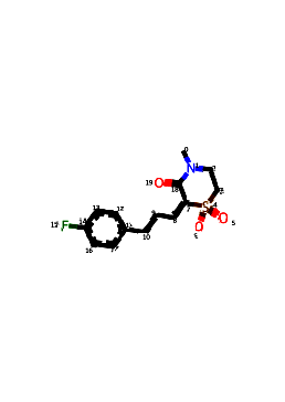 CN1CCS(=O)(=O)/C(=C/C=C/c2ccc(F)cc2)C1=O